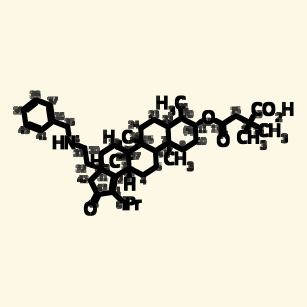 CC(C)C1=C2[C@H]3CCC4[C@@]5(C)CC[C@H](OC(=O)CC(C)(C)C(=O)O)C(C)C5CC[C@@]4(C)[C@]3(C)CC[C@@]2(CCNCc2ccccc2)CC1=O